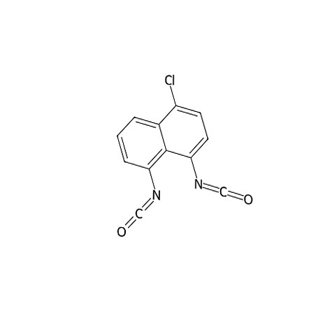 O=C=Nc1cccc2c(Cl)ccc(N=C=O)c12